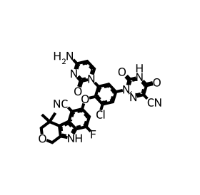 CC1(C)COCc2[nH]c3c(F)cc(Oc4c(Cl)cc(-n5nc(C#N)c(=O)[nH]c5=O)cc4-n4ccc(N)nc4=O)c(C#N)c3c21